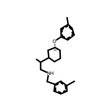 Cc1cccc(CNCC(C)C2CCC[C@@H](Oc3cccc(C)c3)C2)c1